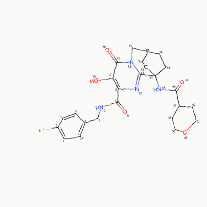 O=C(NCc1ccc(F)cc1)c1nc2n(c(=O)c1O)CC1CCC2(NC(=O)C2CCOCC2)CC1